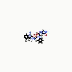 COc1cccc2[nH]c(C(=O)N[C@@H](Cc3cccc(F)c3)C(=O)N[C@@H](C[C@@H]3CCNC3=O)C(N)=O)cc12